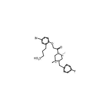 C[C@@H]1CN(Cc2ccc(F)cc2)[C@@H](C)CN1C(=O)COc1ccc(Br)cc1CCCS(=O)(=O)O